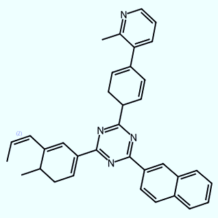 C/C=C\C1=CC(c2nc(-c3ccc4ccccc4c3)nc(C3C=CC(c4cccnc4C)=CC3)n2)=CCC1C